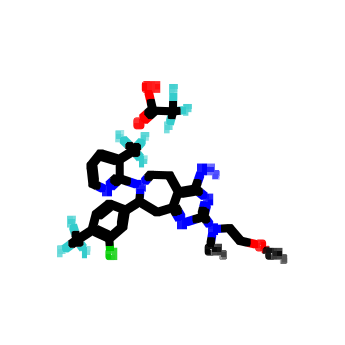 COCCN(C)c1nc(N)c2c(n1)CC(c1ccc(C(F)(F)F)c(Cl)c1)N(c1ncccc1C(F)(F)F)CC2.O=C(O)C(F)(F)F